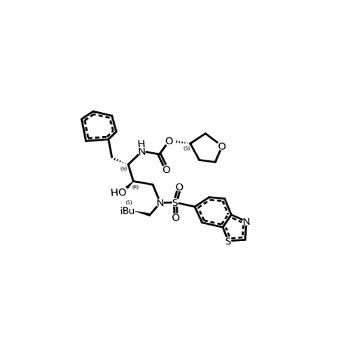 CC[C@H](C)CN(C[C@@H](O)[C@H](Cc1ccccc1)NC(=O)O[C@H]1CCOC1)S(=O)(=O)c1ccc2ncsc2c1